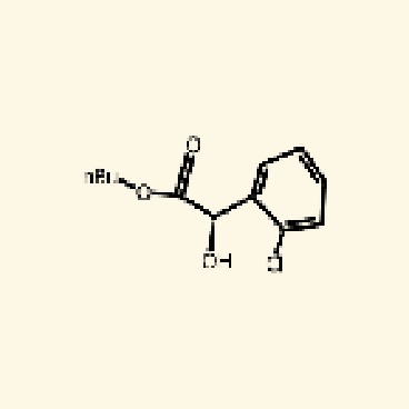 CCCCOC(=O)[C@H](O)c1ccccc1Cl